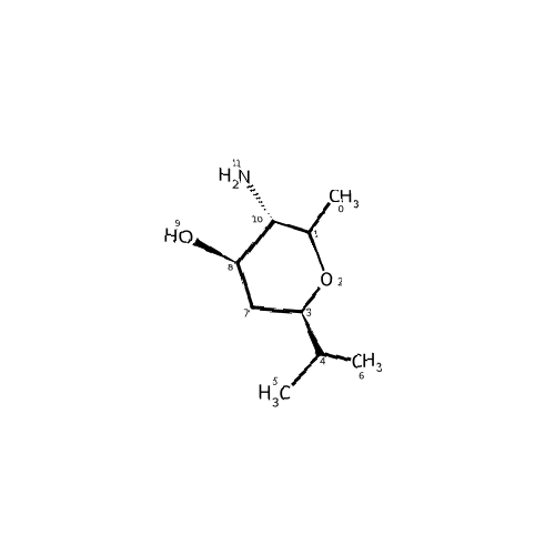 CC1O[C@@H](C(C)C)C[C@@H](O)[C@@H]1N